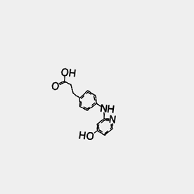 O=C(O)CCc1ccc(Nc2cc(O)ccn2)cc1